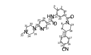 Cc1ccc(C(=O)N2CCC(c3ccc(C#N)cc3)CC2)cc1NC(=O)c1ccc(N2CCN(C)CC2)nc1